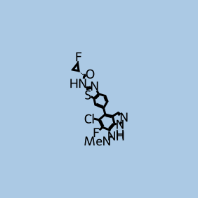 CNNc1c(F)c(Cl)c(-c2ccc3nc(NC(=O)[C@@H]4C[C@@H]4F)sc3c2)c2cn[nH]c12